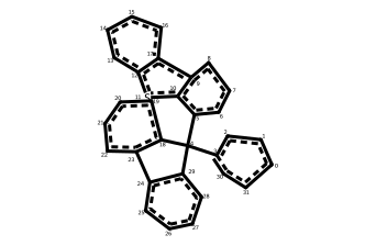 c1ccc(C2(c3cccc4c3sc3ccccc34)c3ccccc3-c3ccccc32)cc1